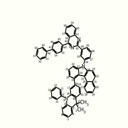 CC1(C)c2ccccc2N(c2ccccc2)c2cc(-c3cccc4c3c3c5ccccc5ccc3n4-c3cccc(-c4nc(-c5ccc(-c6ccccc6)cc5)c5ccccc5n4)c3)ccc21